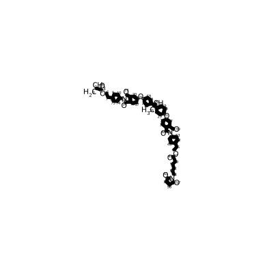 C=C(C)C(=O)OCCc1ccc(N2C(=O)c3ccc(Oc4ccc(C(C)(C)c5ccc(Oc6ccc7c(c6)C(=O)N(c6ccc(CCOC(=O)CCCCCN8C(=O)C=CC8=O)cc6)C7=O)cc5)cc4)cc3C2=O)cc1